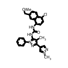 COCc1ccc2c(Cl)ccc(NC(=O)Nc3c(C)c(-c4cnn(C)c4)nn3-c3ccccc3)c2c1